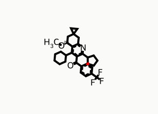 CO[C@H]1CC2(CC2)Cc2nc(C3CCCC3)c(C(=O)c3ccc(C(F)(F)F)cc3)c(C3CCCCC3)c21